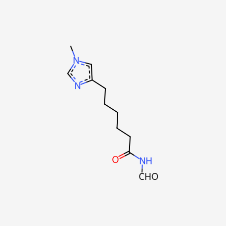 Cn1cnc(CCCCCC(=O)NC=O)c1